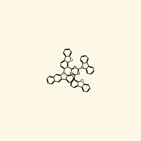 c1ccc2cc3c(cc2c1)c1ccccc1n3-c1ccc2c(oc3ccccc32)c1-c1nc(-c2cccc3c2oc2ccccc23)nc(-n2c3ccccc3c3ccccc32)n1